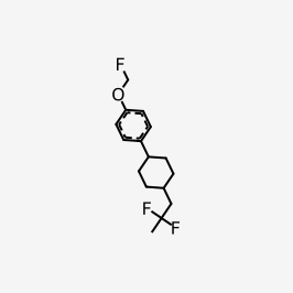 CC(F)(F)CC1CCC(c2ccc(OCF)cc2)CC1